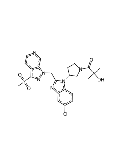 CC(C)(O)C(=O)N1CC[C@@H](n2c(Cn3nc(S(C)(=O)=O)c4ccncc43)nc3cc(Cl)ccc32)C1